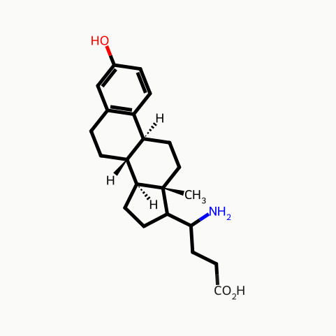 C[C@]12CC[C@@H]3c4ccc(O)cc4CC[C@H]3[C@@H]1CCC2C(N)CCC(=O)O